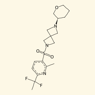 Cc1nc(C(C)(F)F)ccc1S(=O)(=O)N1CC2(CN([C@@H]3CCCOC3)C2)C1